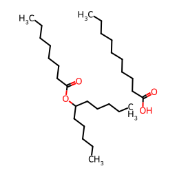 CCCCCCCC(=O)OC(CCCCC)CCCCC.CCCCCCCCCC(=O)O